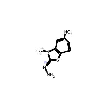 Cn1/c(=N/N)sc2ccc([N+](=O)[O-])cc21